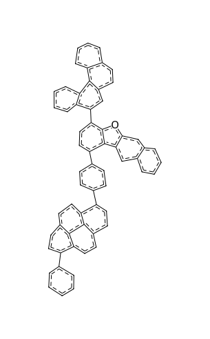 c1ccc(-c2ccc3ccc4c(-c5ccc(-c6ccc(-c7cc8ccc9ccccc9c8c8ccccc78)c7oc8cc9ccccc9cc8c67)cc5)ccc5ccc2c3c54)cc1